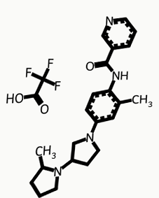 Cc1cc(N2CCC(N3CCCC3C)C2)ccc1NC(=O)c1cccnc1.O=C(O)C(F)(F)F